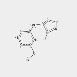 CC(C)Oc1cncc(Nc2ccnn2C)n1